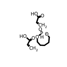 C=CC(=O)O.C=CC(=O)O.O=[PH]1OCCCCCO1